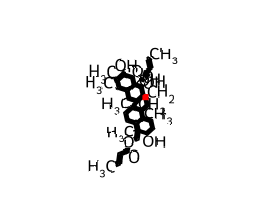 C=CCC1[C@@]2(C)CC[C@H](O)[C@](C)(COC(=O)/C=C/C)C2CC[C@@]1(C)[C@@]1(C)CC2CC(C)(C)[C@@H](O)[C@H](OC(=O)/C=C/C)[C@]2(CO)[C@H](O)C1